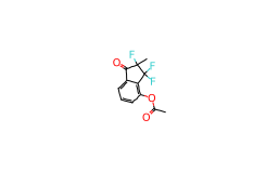 CC(=O)Oc1cccc2c1C(F)(F)C(C)(F)C2=O